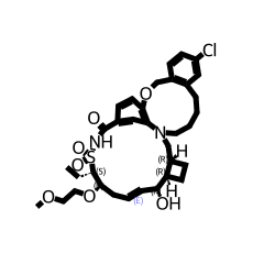 CC[C@H]1[C@H](OCCOC)C/C=C/[C@H](O)[C@@H]2CC[C@H]2CN2CCCCc3cc(Cl)ccc3COc3ccc(cc32)C(=O)NS1(=O)=O